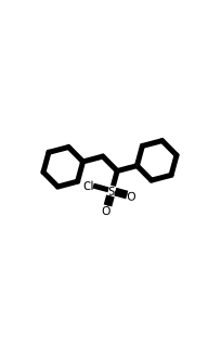 O=S(=O)(Cl)C(CC1CCCCC1)C1CCCCC1